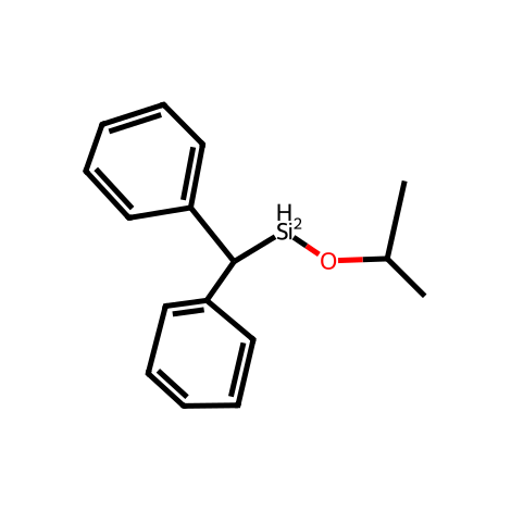 CC(C)O[SiH2]C(c1ccccc1)c1ccccc1